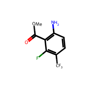 COC(=O)c1c(N)ccc(C(F)(F)F)c1F